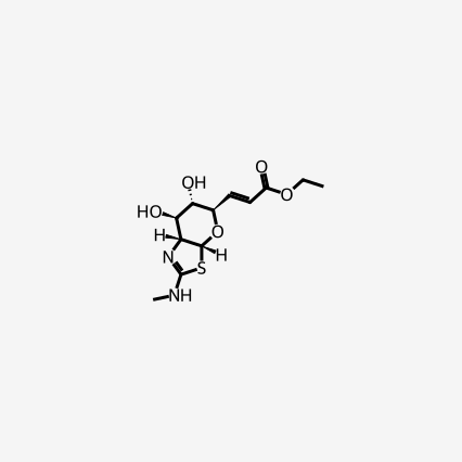 CCOC(=O)/C=C/[C@H]1O[C@@H]2SC(NC)=N[C@@H]2[C@@H](O)[C@@H]1O